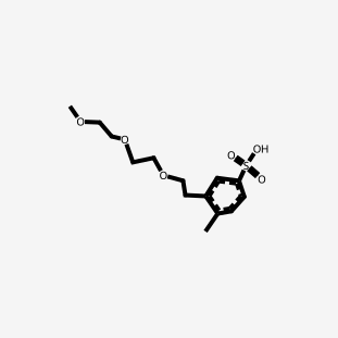 COCCOCCOCCc1cc(S(=O)(=O)O)ccc1C